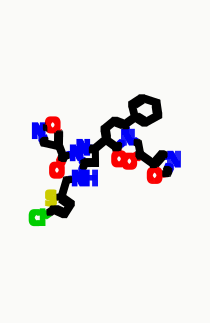 O=C(Cn1c(-c2ccccc2)ccc(-c2cc(NCc3ccc(Cl)s3)n(C(=O)c3cnoc3)n2)c1=O)c1cnco1